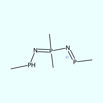 C/P=N/P(C)(C)=NPC